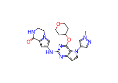 Cn1cc(-n2ccc3nc(Nc4cc5n(c4)CCNC5=O)nc(OC4CCOCC4)c32)cn1